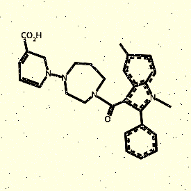 Cc1ccc2c(c1)c(C(=O)N1CCCN(N3C=CC=C(C(=O)O)C3)CC1)c(-c1ccccc1)n2C